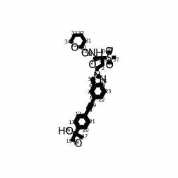 C[C@](CCn1cc2cc(C#Cc3ccc(C4(O)COC4)cc3)ccc2n1)(C(=O)NOC1CCCCO1)S(C)(=O)=O